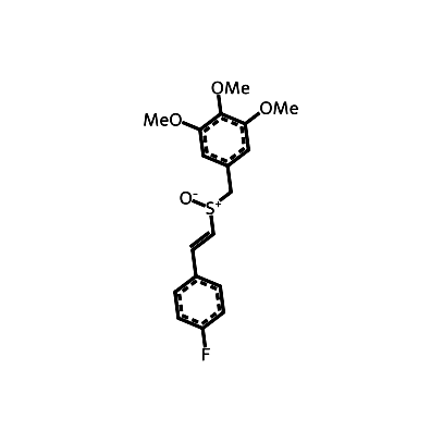 COc1cc(C[S+]([O-])C=Cc2ccc(F)cc2)cc(OC)c1OC